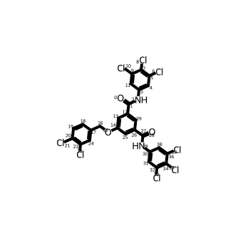 O=C(Nc1cc(Cl)c(Cl)c(Cl)c1)c1cc(OCc2ccc(Cl)c(Cl)c2)cc(C(=O)Nc2cc(Cl)c(Cl)c(Cl)c2)c1